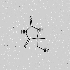 CC(C)CC1(C)NC(=S)NC1=S